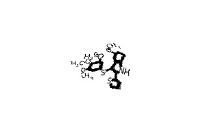 COc1ccc2[nH]c(-c3cccs3)c(Sc3cc(OC)c(OC)c(OC)c3)c2c1